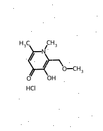 COCc1c(O)c(=O)cc(C)n1C.Cl